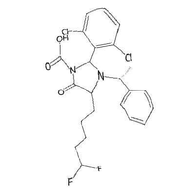 C[C@H](c1ccccc1)N1C(CCCCC(F)F)C(=O)N(C(=O)O)C1c1c(Cl)cccc1Cl